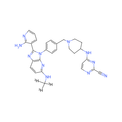 [2H]C([2H])([2H])Nc1ccc2nc(-c3cccnc3N)n(-c3ccc(CN4CCC(Nc5ccnc(C#N)n5)CC4)cc3)c2n1